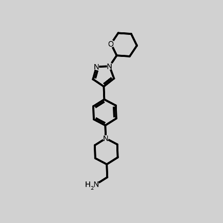 NCC1CCN(c2ccc(-c3cnn(C4CCCCO4)c3)cc2)CC1